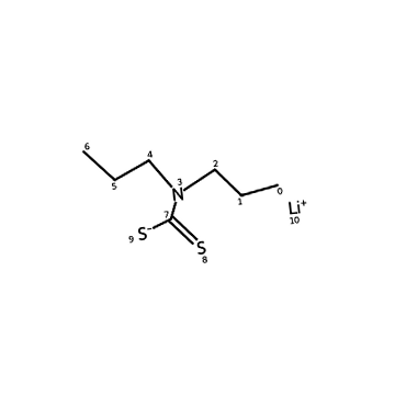 CCCN(CCC)C(=S)[S-].[Li+]